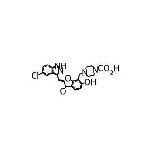 O=C1C(=Cc2n[nH]c3ccc(Cl)cc23)Oc2c1ccc(O)c2CN1CCN(C(=O)O)CC1